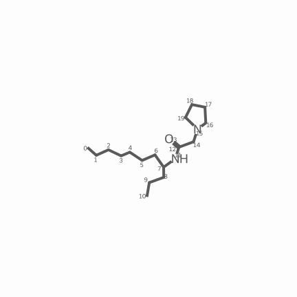 CCCCCCCC(CCC)NC(=O)CN1CCCC1